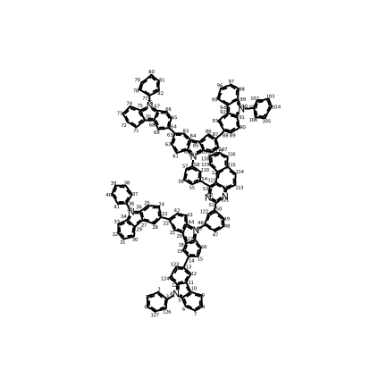 c1ccc(-n2c3ccccc3c3cc(-c4ccc5c(c4)c4cc(-c6ccc7c(c6)c6ccccc6n7-c6ccccc6)ccc4n5-c4cccc(-c5nc(-c6cccc(-n7c8ccc(-c9ccc%10c(c9)c9ccccc9n%10-c9ccccc9)cc8c8cc(-c9ccc%10c(c9)c9ccccc9n%10-c9ccccc9)ccc87)c6)c6c(ccc7ccccc76)n5)c4)ccc32)cc1